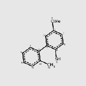 COc1ccc(S)c(-c2ccccc2C)c1